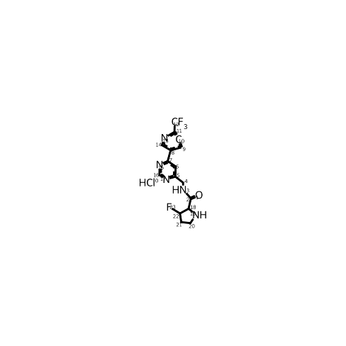 Cl.O=C(NCc1cc(-c2ccc(C(F)(F)F)nc2)ncn1)C1NCCC1F